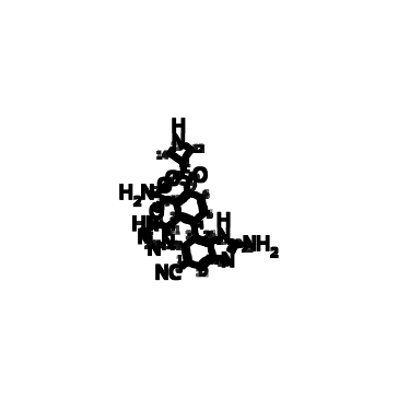 N#Cc1cc(-c2ccc(S(=O)(=O)C3CNC3)c(S(N)(=O)=O)c2-c2nnn[nH]2)c2[nH]c(N)nc2c1